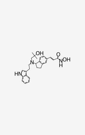 CC(C)(O)CN(CCc1c[nH]c2ccccc12)C1CCc2cc(C=CC(=O)NO)ccc21